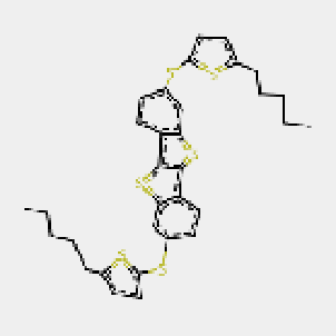 CCCCCc1ccc(Sc2ccc3c(c2)sc2c4ccc(Sc5ccc(CCCCC)s5)cc4sc32)s1